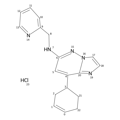 C1=CCC(c2cc(NCc3ccccn3)nn3ccnc23)CC1.Cl